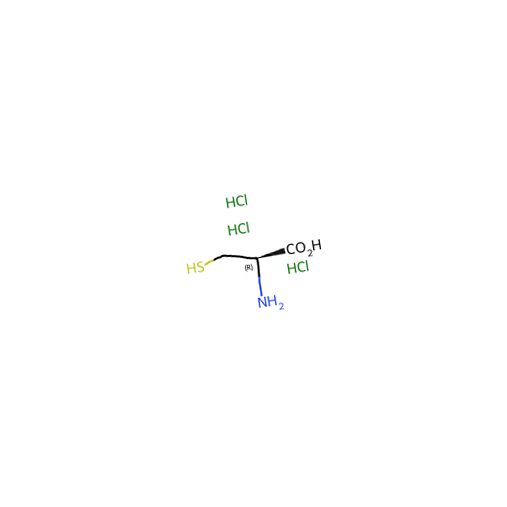 Cl.Cl.Cl.N[C@@H](CS)C(=O)O